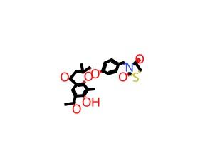 CC(=O)c1cc2c(c(C)c1O)OC(C)(COc1ccc(CN3C(=O)CSC3=O)cc1)CC2=O